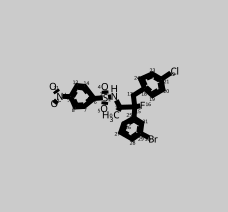 CC(NS(=O)(=O)c1ccc([N+](=O)[O-])cc1)C(F)(Cc1ccc(Cl)cc1)c1cccc(Br)c1